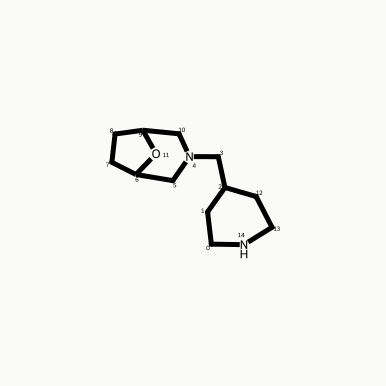 C1CC(CN2CC3CCC(C2)O3)CCN1